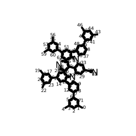 Cc1cc(C)cc(-c2ccc3c(c2)c2cc(-c4cc(C)cc(C)c4)ccc2n3-c2cc(C#N)cc(-n3c4ccc(-c5cc(C)cc(C)c5)cc4c4cc(-c5cc(C)cc(C)c5)ccc43)c2-c2ccncc2)c1